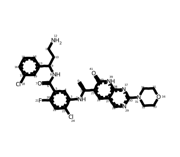 C=C(Nc1cc(C(=O)NC(CCN)c2cccc(Cl)c2)c(F)cc1Cl)c1cc2cnc(N3CCOCC3)nc2[nH]c1=O